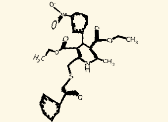 CCOC(=O)C1=C(C)NC(CSCC(=O)c2ccccc2)=C(C(=O)OCC)C1c1cccc([N+](=O)[O-])c1